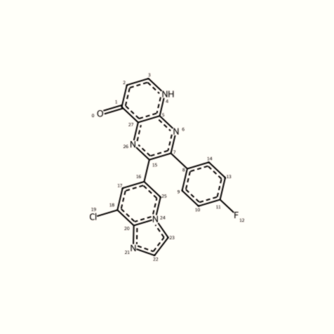 O=c1cc[nH]c2nc(-c3ccc(F)cc3)c(-c3cc(Cl)c4nccn4c3)nc12